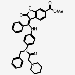 COC(=O)c1ccc2c(c1)NC(=O)C2=C(Nc1ccc(N(Cc2ccccc2)C(=O)CN2CCCCC2)cc1)c1ccccc1